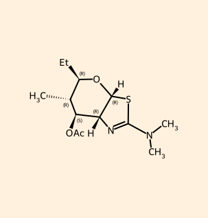 CC[C@H]1O[C@@H]2SC(N(C)C)=N[C@@H]2[C@@H](OC(C)=O)[C@@H]1C